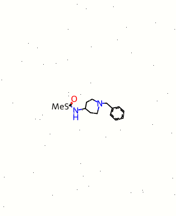 CSC(=O)NC1CCN(Cc2ccccc2)CC1